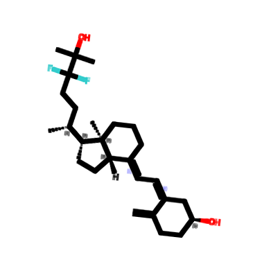 C=C1CC[C@H](O)C/C1=C/C=C1\CCC[C@]2(C)[C@@H]([C@H](C)CCC(F)(F)C(C)(C)O)CC[C@@H]12